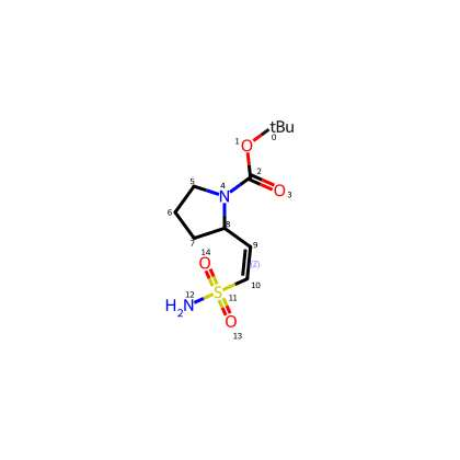 CC(C)(C)OC(=O)N1CCCC1/C=C\S(N)(=O)=O